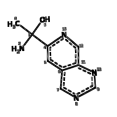 CC(N)(O)c1cc2cncnc2cn1